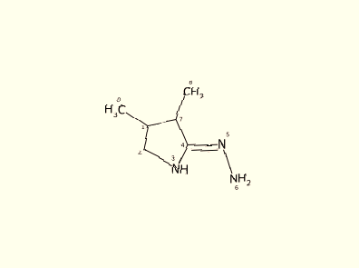 CC1CNC(=NN)C1C